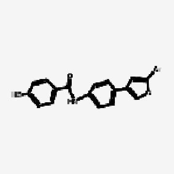 CC(=O)c1cc(-c2ccc(NC(=O)c3ccc(O)cc3)cc2)co1